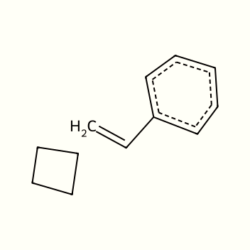 C1CCC1.C=Cc1ccccc1